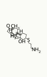 C[C@]12CC[C@@H]3[C@@H](CCC4(O)CC(SCCCN)CC[C@]34C)[C@@H]1CCC2=O